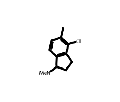 CNC1CCc2c1ccc(C)c2Cl